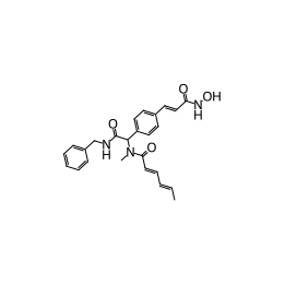 C/C=C/C=C/C(=O)N(C)C(C(=O)NCc1ccccc1)c1ccc(/C=C/C(=O)NO)cc1